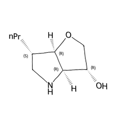 CCC[C@H]1CN[C@H]2[C@@H]1OC[C@@H]2O